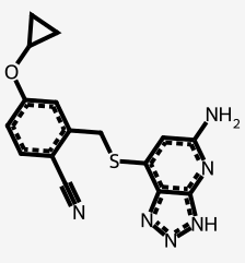 N#Cc1ccc(OC2CC2)cc1CSc1cc(N)nc2[nH]nnc12